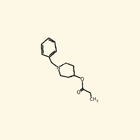 CCC(=O)OC1CCN(Cc2ccccc2)CC1